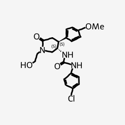 COc1ccc([C@@H]2CC(=O)N(CCO)C[C@H]2NC(=O)Nc2ccc(Cl)cc2)cc1